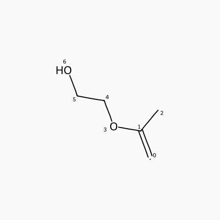 [CH]=C(C)OCCO